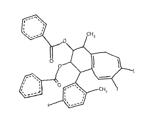 Cc1ccc(I)cc1C1C2=C(CC=C(I)C(I)=C2)C(C)C(OC(=O)c2ccccc2)C1OC(=O)c1ccccc1